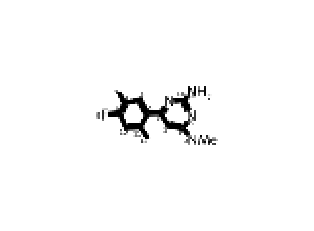 CNc1cc(-c2cc(C)c(F)cc2C)nc(N)n1